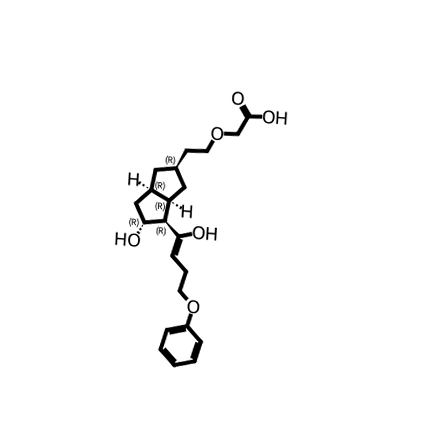 O=C(O)COCC[C@@H]1C[C@@H]2C[C@@H](O)[C@H](C(O)=CCCOc3ccccc3)[C@@H]2C1